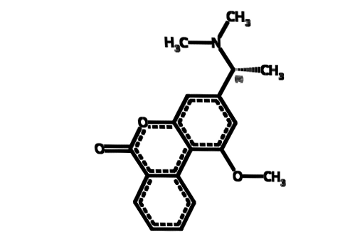 COc1cc([C@@H](C)N(C)C)cc2oc(=O)c3ccccc3c12